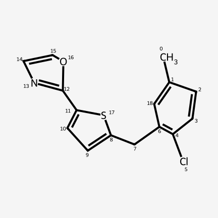 Cc1ccc(Cl)c(Cc2ccc(-c3ncco3)s2)c1